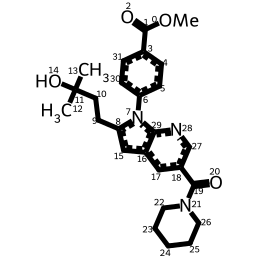 COC(=O)c1ccc(-n2c(CCC(C)(C)O)cc3cc(C(=O)N4CCCCC4)cnc32)cc1